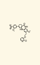 COc1cc2c(cc1CCOc1cccnc1Cl)NC1=C(CCC(c3ccc([N+](=O)[O-])c(OC)c3)=C1)C(=O)N2